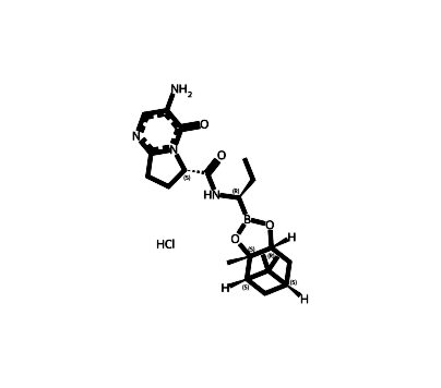 CC[C@H](NC(=O)[C@@H]1CCc2ncc(N)c(=O)n21)B1O[C@@H]2C[C@@H]3C[C@@H](C3(C)C)[C@]2(C)O1.Cl